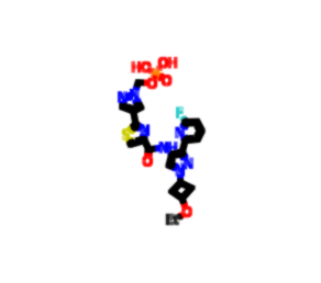 CCOC1CC(n2cc(NC(=O)c3csc(-c4cnn(COP(=O)(O)O)c4)n3)c(-c3cccc(F)n3)n2)C1